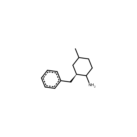 CC1CCC(N)[C@@H](Cc2ccccc2)C1